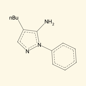 CCCCc1cnn(-c2ccccc2)c1N